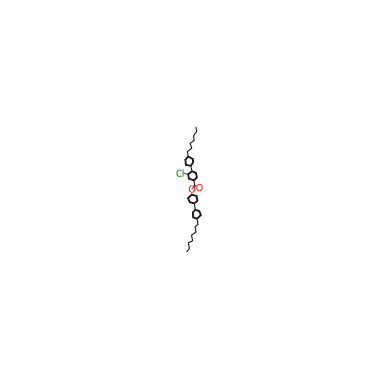 CCCCCCCCc1ccc(-c2ccc(OC(=O)c3ccc(-c4ccc(CCCCCCC)cc4)c(Cl)c3)cc2)cc1